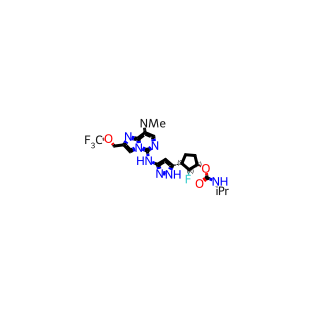 CNc1cnc(Nc2cc([C@@H]3CC[C@H](OC(=O)NC(C)C)[C@@H]3F)[nH]n2)n2cc(COC(F)(F)F)nc12